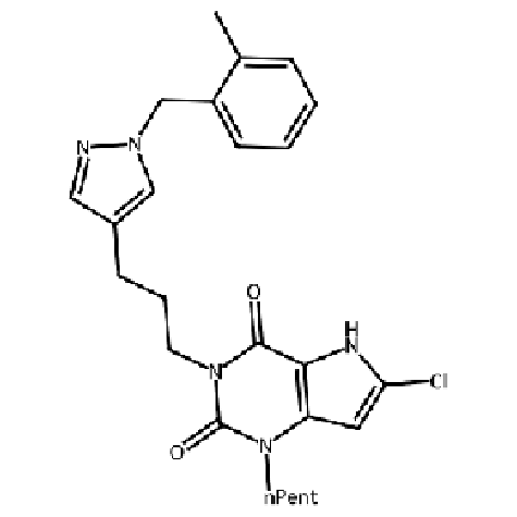 CCCCCn1c(=O)n(CCCc2cnn(Cc3ccccc3C)c2)c(=O)c2[nH]c(Cl)cc21